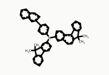 CC1(C)c2ccccc2-c2ccc(N(c3ccc(-c4ccc5ccccc5c4)cc3)c3ccc4c5c(ccc4c3)C(C)(C)c3ccccc3-5)cc21